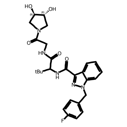 CC(C)(C)C(NC(=O)c1nn(Cc2ccc(F)cc2)c2ccccc12)C(=O)NCC(=O)N1C[C@@H](O)[C@H](O)C1